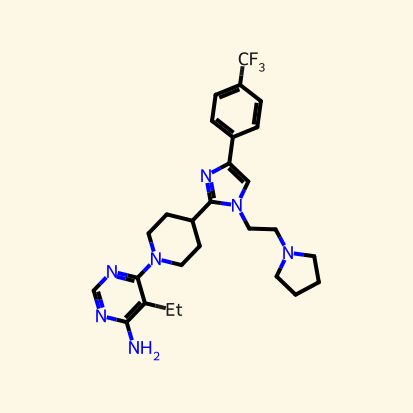 CCc1c(N)ncnc1N1CCC(c2nc(-c3ccc(C(F)(F)F)cc3)cn2CCN2CCCC2)CC1